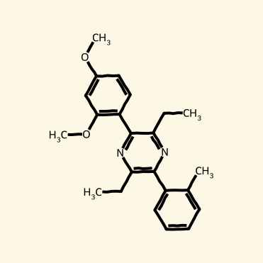 CCc1nc(-c2ccc(OC)cc2OC)c(CC)nc1-c1ccccc1C